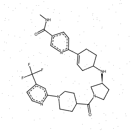 CNC(=O)c1ccc(C2=CCC(N[C@H]3CCN(C(=O)C4CCN(c5cc(C(F)(F)F)ccn5)CC4)C3)CC2)nc1